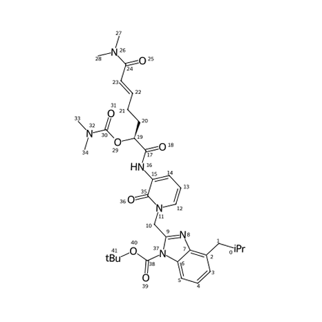 CC(C)Cc1cccc2c1nc(Cn1cccc(NC(=O)[C@H](CC/C=C/C(=O)N(C)C)OC(=O)N(C)C)c1=O)n2C(=O)OC(C)(C)C